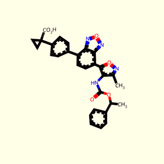 Cc1noc(-c2ccc(-c3ccc(C4(C(=O)O)CC4)cc3)c3nonc23)c1NC(=O)OC(C)c1ccccc1